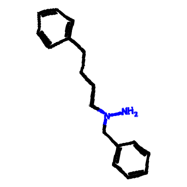 NN(CCCCc1ccccc1)Cc1ccccc1